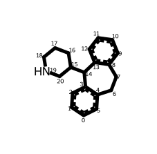 c1ccc2c(c1)CCc1ccccc1C2C1CCCNC1